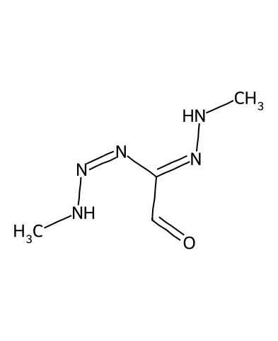 CN/N=N\C(C=O)=N/NC